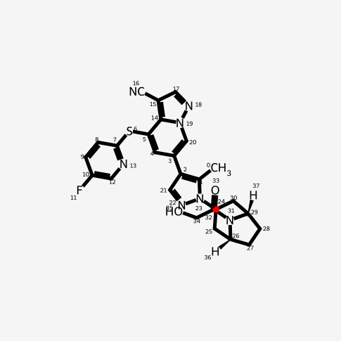 Cc1c(-c2cc(Sc3ccc(F)cn3)c3c(C#N)cnn3c2)cnn1C1C[C@H]2CC[C@@H](C1)N2C(=O)CO